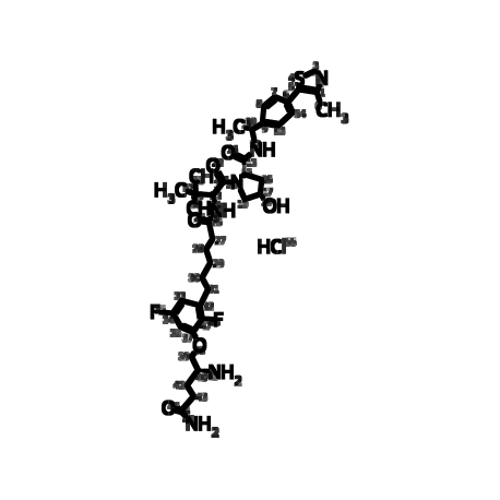 Cc1ncsc1-c1ccc([C@H](C)NC(=O)[C@@H]2C[C@@H](O)CN2C(=O)[C@@H](NC(=O)CCCCCc2cc(F)cc(OC[C@@H](N)CCC(N)=O)c2F)C(C)(C)C)cc1.Cl